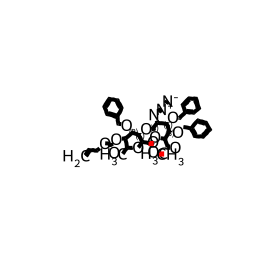 C=CCOC(=O)OC1C(C)OC(C(=O)OC)[C@@H](O[C@H]2OC(C(C)=O)[C@@H](OCc3ccccc3)[C@@H](OCc3ccccc3)C2N=[N+]=[N-])[C@H]1OCc1ccccc1